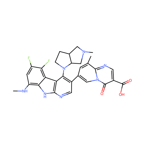 CNc1cc(F)c(F)c2c1[nH]c1ncc(-c3cc(C)c4ncc(C(=O)O)c(=O)n4c3)c(N3CCC4CN(C)CC43)c12